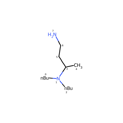 CCCCN(CCCC)C(C)CCN